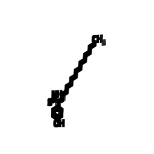 CCCCCCCCCCCCCCCCN(C(N)=S)c1ccc(O)cc1